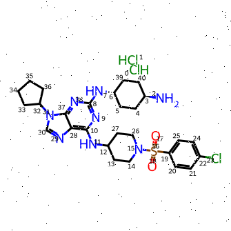 Cl.Cl.N[C@H]1CC[C@H](Nc2nc(NC3CCN(S(=O)(=O)c4ccc(Cl)cc4)CC3)c3ncn(C4CCCC4)c3n2)CC1